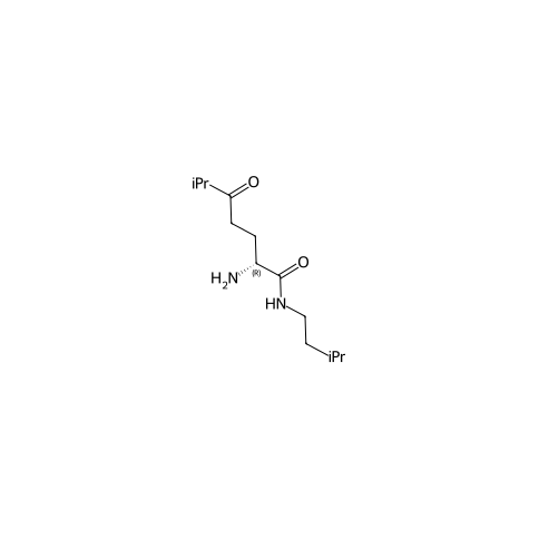 CC(C)CCNC(=O)[C@H](N)CCC(=O)C(C)C